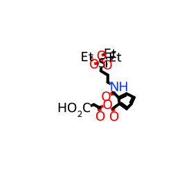 CCO[Si](CCCNC(=O)c1ccccc1C(=O)OC(=O)CC(=O)O)(OCC)OCC